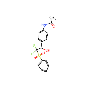 CC(=O)Nc1ccc(C(O)C(F)(F)S(=O)(=O)c2ccccc2)cc1